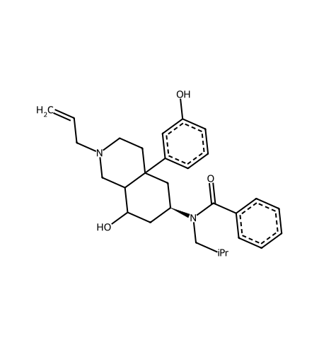 C=CCN1CCC2(c3cccc(O)c3)C[C@@H](N(CC(C)C)C(=O)c3ccccc3)CC(O)C2C1